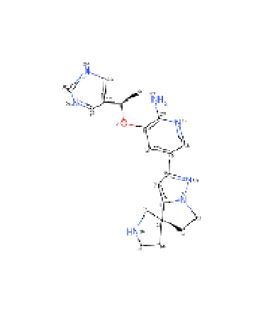 C[C@@H](Oc1cc(-c2cc3n(n2)CC[C@]32CCNC2)cnc1N)c1cncnc1